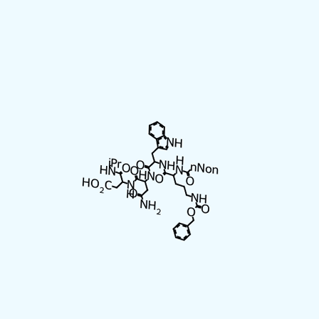 CCCCCCCCCC(=O)NC(CCCNC(=O)OCc1ccccc1)C(=O)NC(Cc1c[nH]c2ccccc12)C(=O)NC(CC(N)=O)C(=O)NC(CC(=O)O)C(=O)NC(C)C